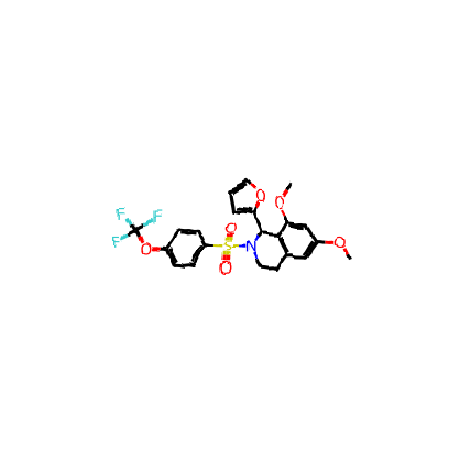 COc1cc2c(c(OC)c1)C(c1ccco1)N(S(=O)(=O)c1ccc(OC(F)(F)F)cc1)CC2